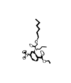 CCCCCCOCC(=O)N(CCC)c1cc([N+](=O)[O-])ccc1C(=O)OCC